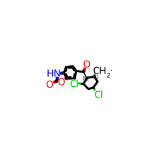 [CH2][C@@H]1CC(Cl)CC(Cl)[C@H]1C(=O)c1ccc2[nH]c(=O)oc2c1